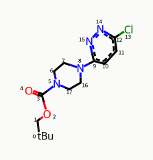 CC(C)(C)COC(=O)N1CCN(c2ccc(Cl)nn2)CC1